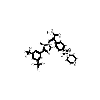 CN1C(c2cc(C(F)(F)F)cc(C(F)(F)F)c2)=NCN1/C=C(/C(N)=O)c1ccc(S(=O)(=O)N2CCOCC2)cc1